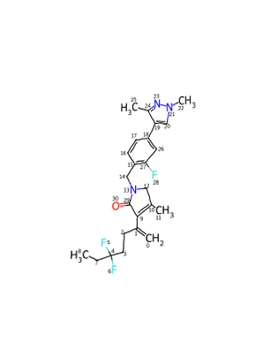 C=C(CCC(F)(F)CC)C1=C(C)CN(Cc2ccc(-c3cn(C)nc3C)cc2F)C1=O